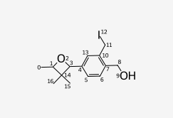 CC1OC(c2ccc(CO)c(CI)c2)C1(C)C